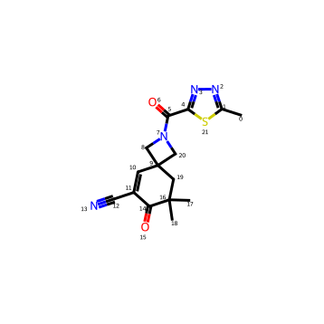 Cc1nnc(C(=O)N2CC3(C=C(C#N)C(=O)C(C)(C)C3)C2)s1